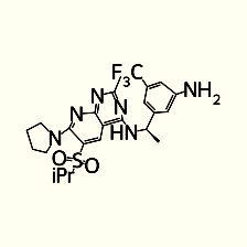 Cc1nc(N[C@H](C)c2cc(N)cc(C(F)(F)F)c2)c2cc(S(=O)(=O)C(C)C)c(N3CCCC3)nc2n1